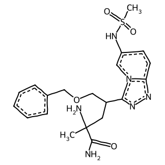 CC(N)(CC(COCc1ccccc1)c1nnc2ccc(NS(C)(=O)=O)cn12)C(N)=O